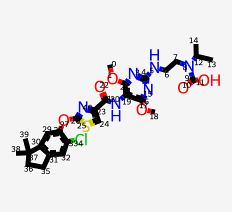 COc1nc(NCCN(C(=O)O)C(C)C)nc(OC)c1NC(=O)c1csc(Oc2cc3c(cc2Cl)CCC3(C)C)n1